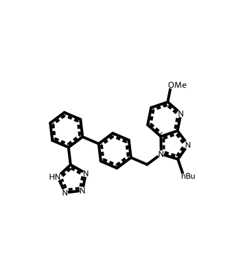 CCCCc1nc2nc(OC)ccc2n1Cc1ccc(-c2ccccc2-c2nnn[nH]2)cc1